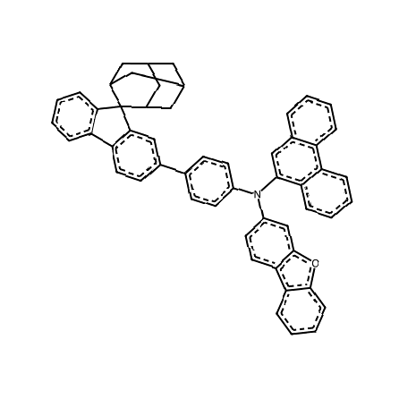 c1ccc2c(c1)-c1ccc(-c3ccc(N(c4ccc5c(c4)oc4ccccc45)c4cc5ccccc5c5ccccc45)cc3)cc1C21C2CC3CC(C2)CC1C3